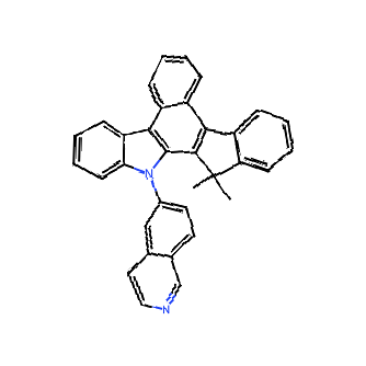 CC1(C)c2ccccc2-c2c1c1c(c3ccccc23)c2ccccc2n1-c1ccc2cnccc2c1